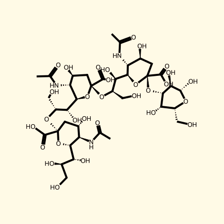 CC(=O)N[C@H]1[C@H]([C@H](O)[C@H](O)CO)O[C@@](O[C@H](CO)[C@@H](O)[C@@H]2O[C@@](O[C@H](CO)[C@@H](O)[C@@H]3O[C@@](O[C@@H]4[C@@H](O)[C@H](O)O[C@H](CO)[C@@H]4O)(C(=O)O)C[C@H](O)[C@H]3NC(C)=O)(C(=O)O)C[C@H](O)[C@H]2NC(C)=O)(C(=O)O)C[C@@H]1O